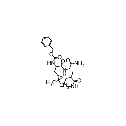 CC1(C)CC1CC(NC(=O)OCc1ccccc1)C(=O)N[C@@H](C[C@@H]1CCCNC1=O)C(N)=O